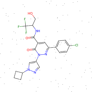 O=C(NC(CO)C(F)(F)F)c1cc(-c2ccc(Cl)cc2)nn(-c2cnn(C3CCC3)c2)c1=O